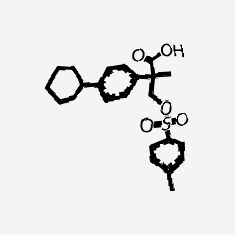 Cc1ccc(S(=O)(=O)OCC(C)(C(=O)O)c2ccc(C3CCCCC3)cc2)cc1